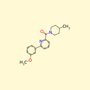 COc1cccc(-c2cccc(C(=O)N3CCC(C)CC3)n2)c1